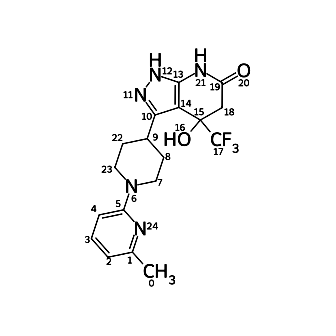 Cc1cccc(N2CCC(c3n[nH]c4c3C(O)(C(F)(F)F)CC(=O)N4)CC2)n1